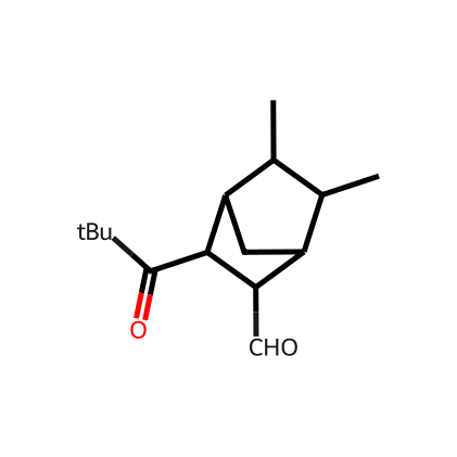 CC1C(C)C2CC1C(C=O)C2C(=O)C(C)(C)C